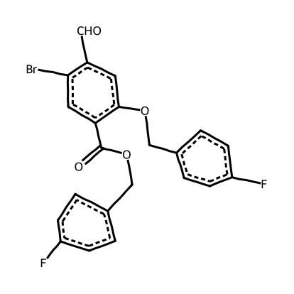 O=Cc1cc(OCc2ccc(F)cc2)c(C(=O)OCc2ccc(F)cc2)cc1Br